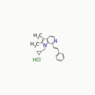 Cc1c(C)n(CC2CC2)c2c(C=Cc3ccccc3)nccc12.Cl